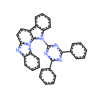 c1ccc(-c2nc(-c3ccccc3)nc(-n3c4ccccc4c4ccc5nc6ccccc6n5c43)n2)cc1